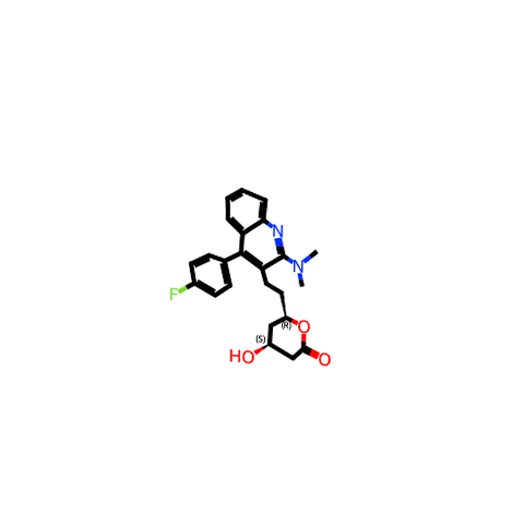 CN(C)c1nc2ccccc2c(-c2ccc(F)cc2)c1CC[C@@H]1C[C@H](O)CC(=O)O1